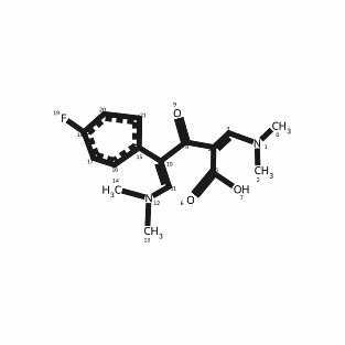 CN(C)C=C(C(=O)O)C(=O)C(=CN(C)C)c1ccc(F)cc1